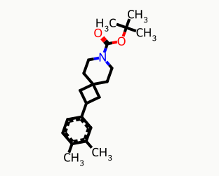 Cc1ccc(C2CC3(CCN(C(=O)OC(C)(C)C)CC3)C2)cc1C